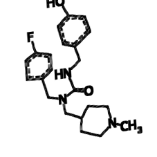 CN1CCC(CN(Cc2ccc(F)cc2)C(=O)NCc2ccc(O)cc2)CC1